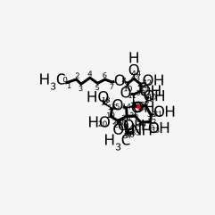 CCCCCCCCO[C@H]1O[C@H](C(O)[C@@H]2O[C@H](CO)[C@@H](O)[C@H](O)[C@@]2(O)[C@@H]2O[C@H](CO)[C@@H](O)[C@H](O)[C@@H]2NC(C)=O)[C@@H](O)[C@H](O)[C@H]1O